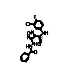 O=C(NCc1nonc1/C(=N\O)Nc1ccc(F)c(Cl)c1)c1ccccc1